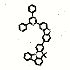 CC1(C)c2cc(-c3ccc4sc5ccc(-c6nc(-c7ccccc7)cc(-c7ccccc7)n6)cc5c4c3)ccc2-n2c3ccccc3c3cccc1c32